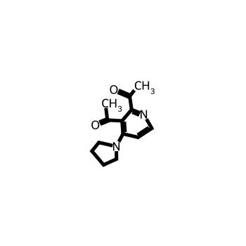 CC(=O)c1nccc(N2CCCC2)c1C(C)=O